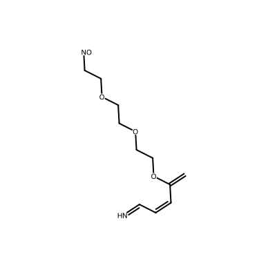 C=C(/C=C\C=N)OCCOCCOCCN=O